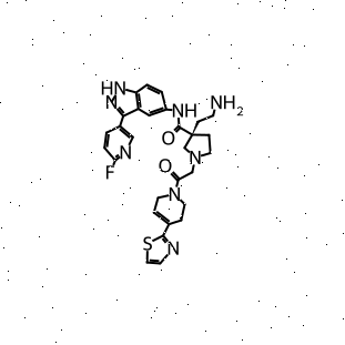 NCC[C@@]1(C(=O)Nc2ccc3[nH]nc(-c4ccc(F)nc4)c3c2)CCN(CC(=O)N2CC=C(c3nccs3)CC2)C1